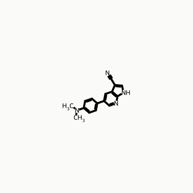 CN(C)c1ccc(-c2cnc3[nH]cc(C#N)c3c2)cc1